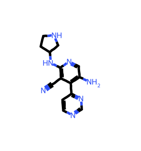 N#Cc1c(NC2CCNC2)ncc(N)c1-c1ccncn1